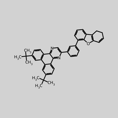 CC(C)(C)c1ccc2c(c1)c1cc(C(C)(C)C)ccc1c1nc(-c3cccc(-c4cccc5c6c(oc45)C=CCC6)c3)cnc21